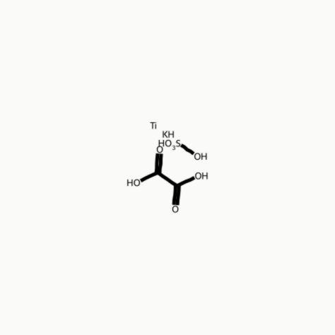 O=C(O)C(=O)O.O=S(=O)(O)O.[KH].[Ti]